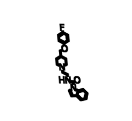 O=C(NCCN1CCC(COc2ccc(F)cc2)CC1)n1ccc2ccccc21